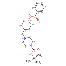 CC(C)(C)OC(=O)N1CCN(CC2CCN(OC(=O)c3ccccc3)CC2)CC1